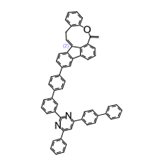 C=C1Oc2ccccc2C/C=C2/c3ccc(-c4ccc(-c5cccc(-c6nc(-c7ccccc7)cc(-c7ccc(-c8ccccc8)cc7)n6)c5)cc4)cc3-c3cccc1c32